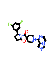 O=C1N2C(CCC2c2cc(F)cc(F)c2)OC12CCN(c1nccn3cncc13)CC2